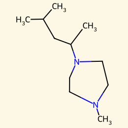 CC(C)CC(C)N1CCN(C)CC1